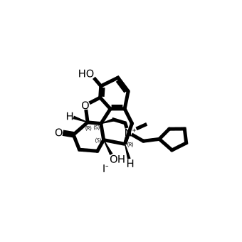 C[N+]1(CC2CCCC2)CC[C@]23c4c5ccc(O)c4O[C@H]2C(=O)CC[C@@]3(O)[C@H]1C5.[I-]